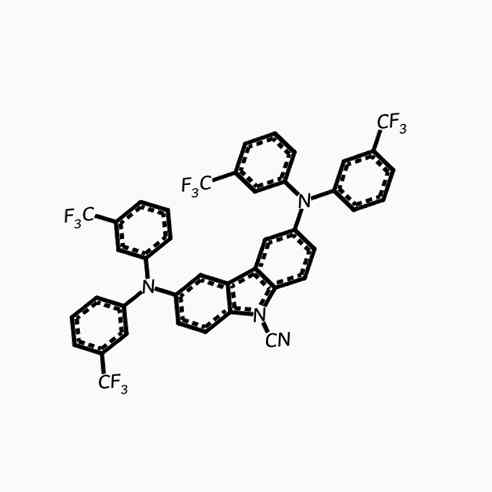 N#Cn1c2ccc(N(c3cccc(C(F)(F)F)c3)c3cccc(C(F)(F)F)c3)cc2c2cc(N(c3cccc(C(F)(F)F)c3)c3cccc(C(F)(F)F)c3)ccc21